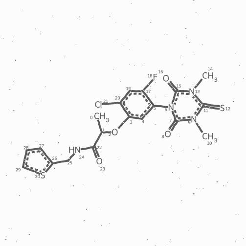 CC(Oc1cc(-n2c(=O)n(C)c(=S)n(C)c2=O)c(F)cc1Cl)C(=O)NCc1cccs1